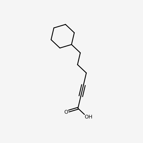 O=C(O)C#CCCCC1CCCCC1